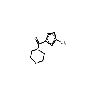 Cc1cnn(C(=O)N2CCOCC2)c1